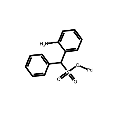 Nc1ccccc1C(c1ccccc1)S(=O)(=O)[O][Pd]